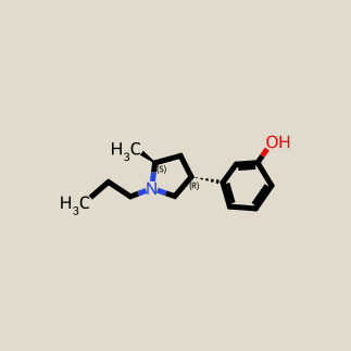 CCCN1C[C@@H](c2cccc(O)c2)C[C@@H]1C